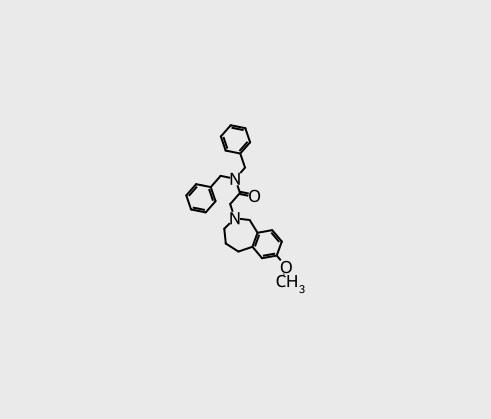 COc1ccc2c(c1)CCCN(CC(=O)N(Cc1ccccc1)Cc1ccccc1)C2